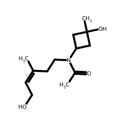 CC(=O)N(CC/C(C)=C\CO)C1CC(C)(O)C1